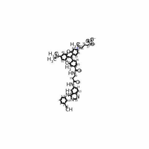 C#Cc1cccc(Nc2ncnc3ccc(NC(=O)CCNC(=O)c4ccc(-c5c6cc/c(=[N+](/C)CCCS(=O)(=O)[O-])cc-6oc6cc(N(C)C)ccc56)c(C)c4)cc23)c1